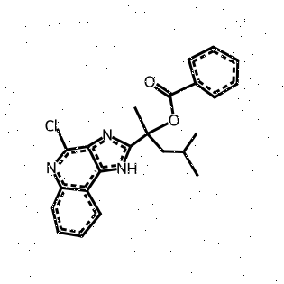 CC(C)CC(C)(OC(=O)c1ccccc1)c1nc2c(Cl)nc3ccccc3c2[nH]1